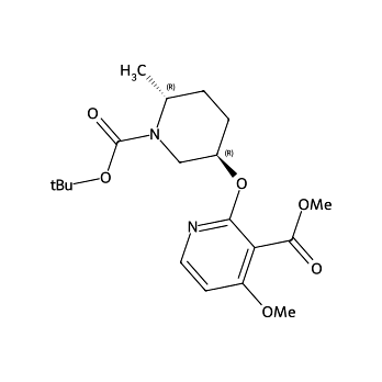 COC(=O)c1c(OC)ccnc1O[C@@H]1CC[C@@H](C)N(C(=O)OC(C)(C)C)C1